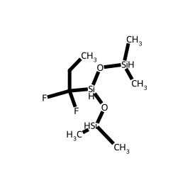 CCC(F)(F)[SiH](O[SiH](C)C)O[SiH](C)C